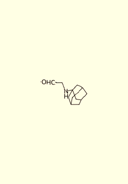 O=[C]CNC12CC3CC(CC(C3)C1)C2